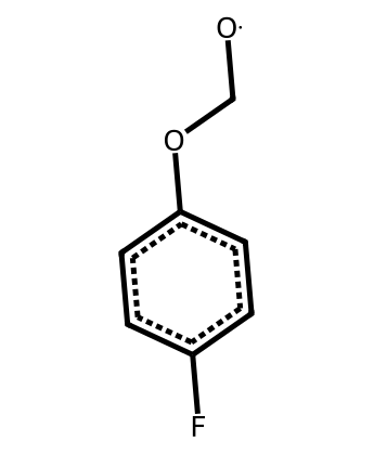 [O]COc1ccc(F)cc1